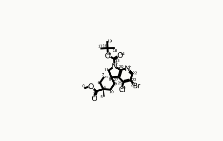 COC(=O)[C@]1(C)CC[C@]2(CC1)CN(C(=O)OC(C)(C)C)c1ncc(Br)c(Cl)c12